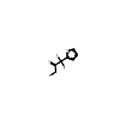 O=C(CF)C(F)(F)c1ccco1